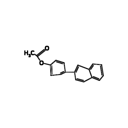 CC(=O)Oc1ccc(-c2ccc3ccccc3c2)cc1